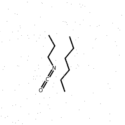 CCCCCC.CCCN=C=O